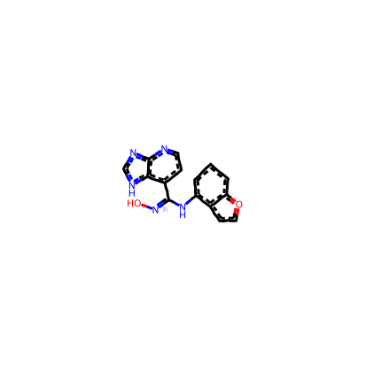 O/N=C(/Nc1cccc2occc12)c1ccnc2nc[nH]c12